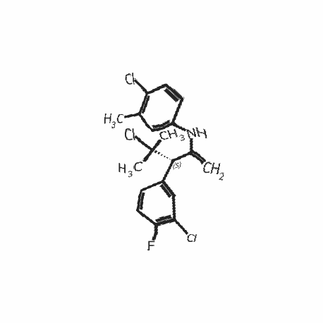 C=C(Nc1ccc(Cl)c(C)c1)[C@H](c1ccc(F)c(Cl)c1)C(C)(C)Cl